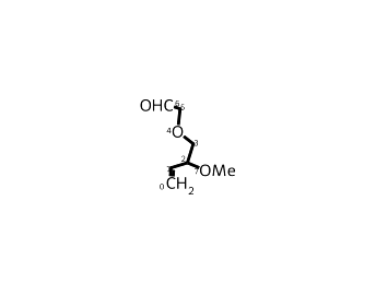 C=CC(COCC=O)OC